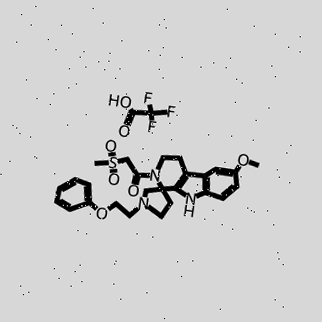 COc1ccc2[nH]c3c(c2c1)CCN(C(=O)CS(C)(=O)=O)C31CCN(CCOc2ccccc2)C1.O=C(O)C(F)(F)F